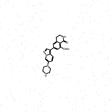 COc1cc(-c2cnn3cc(N4CCNCC4)ccc23)cc2c1C(=O)NCC2